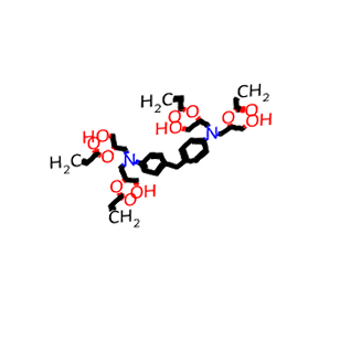 C=CC(=O)OC(CO)CN(CC(CO)OC(=O)C=C)c1ccc(Cc2ccc(N(CC(CO)OC(=O)C=C)CC(CO)OC(=O)C=C)cc2)cc1